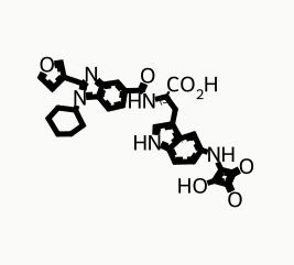 O=C(N[C@@H](Cc1c[nH]c2ccc(Nc3c(O)c(=O)c3=O)cc12)C(=O)O)c1ccc2c(c1)nc(-c1ccoc1)n2C1CCCCC1